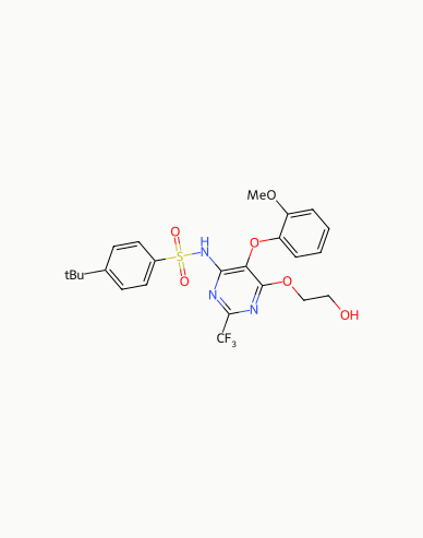 COc1ccccc1Oc1c(NS(=O)(=O)c2ccc(C(C)(C)C)cc2)nc(C(F)(F)F)nc1OCCO